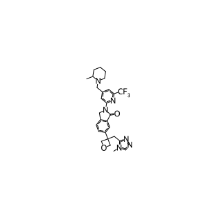 CC1CCCCN1Cc1cc(N2Cc3ccc(C4(Cc5nncn5C)COC4)cc3C2=O)nc(C(F)(F)F)c1